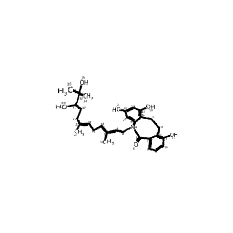 C/C(=C\CN1C(=O)c2cccc(O)c2CCc2c(O)cc(O)cc21)CC/C=C(\C)CCC(O)C(C)(C)O